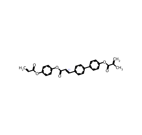 C=CC(=O)Oc1ccc(OC(=O)/C=C/c2ccc(-c3ccc(OC(=O)C(=C)C)cc3)cc2)cc1